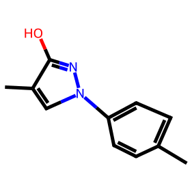 Cc1ccc(-n2cc(C)c(O)n2)cc1